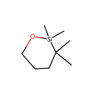 CC1(C)CCCO[Si]1(C)C